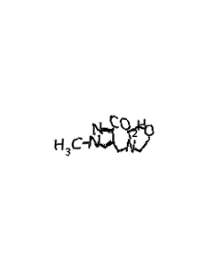 Cn1cc(CN2CCOCC2)c(C(=O)O)n1